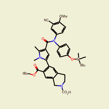 COc1ccc(N(C(=O)c2cc(-c3cc4c(cc3C(=O)OC(C)(C)C)CN(C(=O)O)CC4)n(C)c2C)c2ccc(O[Si](C)(C)C(C)(C)C)cc2)cc1C#N